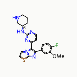 COc1cc(-c2nc3sccn3c2-c2ccnc(N[C@@H]3CCCNC3)n2)ccc1F